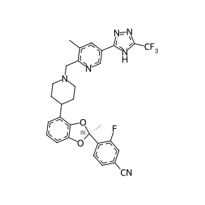 Cc1cc(-c2nnc(C(F)(F)F)[nH]2)cnc1CN1CCC(c2cccc3c2O[C@@](C)(c2ccc(C#N)cc2F)O3)CC1